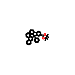 CC1(C)OB(c2ccc3c(c2)C(c2ccccc2)(c2cc4ccccc4c4ccccc24)c2ccccc2-3)OC1(C)C